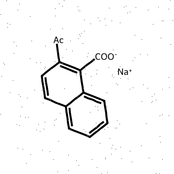 CC(=O)c1ccc2ccccc2c1C(=O)[O-].[Na+]